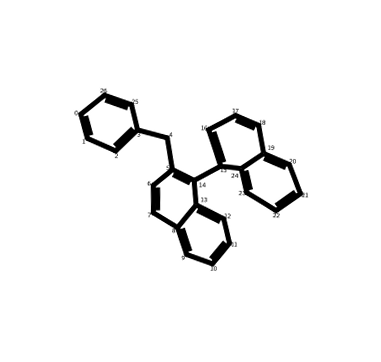 c1ccc(Cc2ccc3ccccc3c2-c2cccc3ccccc23)cc1